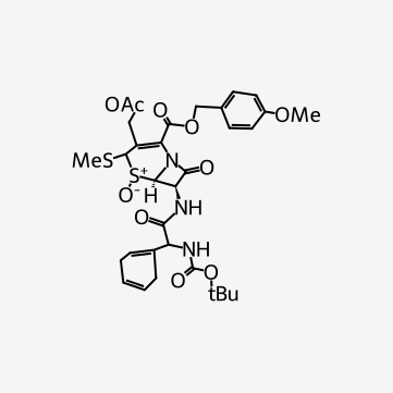 COc1ccc(COC(=O)C2=C(COC(C)=O)C(SC)[S+]([O-])[C@@H]3[C@H](NC(=O)C(NC(=O)OC(C)(C)C)C4=CCC=CC4)C(=O)N23)cc1